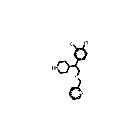 Clc1ccc(C(COCc2ccccn2)C2CCNCC2)cc1Cl